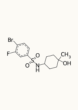 CC1(O)CCC(NS(=O)(=O)c2ccc(Br)c(F)c2)CC1